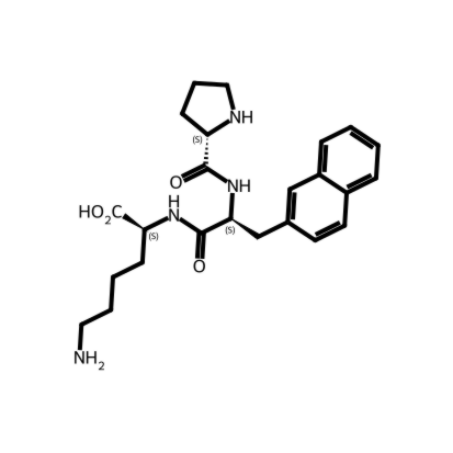 NCCCC[C@H](NC(=O)[C@H](Cc1ccc2ccccc2c1)NC(=O)[C@@H]1CCCN1)C(=O)O